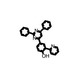 Oc1ccc(-c2cc(-c3ccccc3)nc(-c3ccccc3)n2)cc1-c1ccccn1